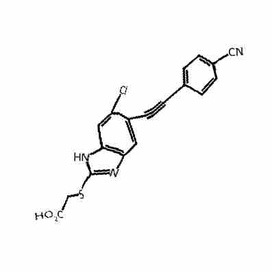 N#Cc1ccc(C#Cc2cc3nc(SCC(=O)O)[nH]c3cc2Cl)cc1